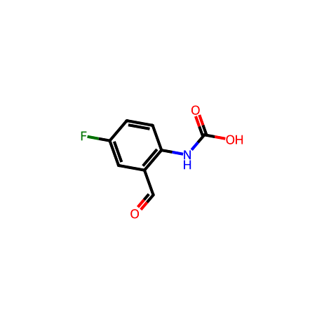 O=Cc1cc(F)ccc1NC(=O)O